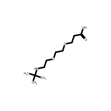 CC(C)(C)NCCOCCOCCC(=O)O